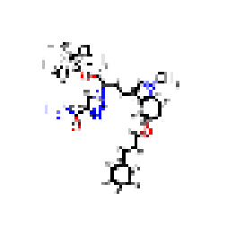 Cn1cc(CC[C@H](CO[Si](C)(C)C(C)(C)C)n2cnc(C(N)=O)c2)c2cc(OCCCc3ccccc3)ccc21